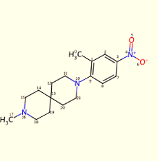 Cc1cc([N+](=O)[O-])ccc1N1CCC2(CCN(C)CC2)CC1